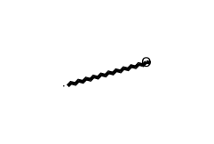 [CH2]CCCCCCCCCCCCCCCCCCCCOC